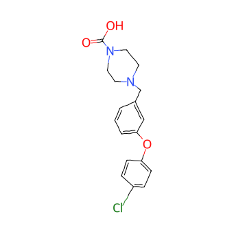 O=C(O)N1CCN(Cc2cccc(Oc3ccc(Cl)cc3)c2)CC1